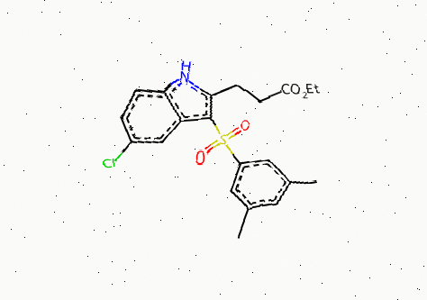 CCOC(=O)CCc1[nH]c2ccc(Cl)cc2c1S(=O)(=O)c1cc(C)cc(C)c1